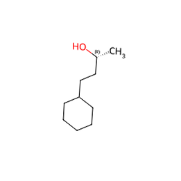 C[C@@H](O)CCC1CCCCC1